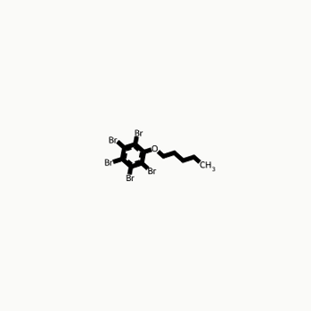 CCCCCOc1c(Br)c(Br)c(Br)c(Br)c1Br